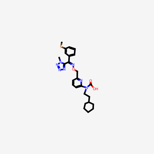 CSc1cccc(C(=NOCc2cccc(N(CCC3CCCCC3)C(=O)O)n2)c2nnnn2C)c1